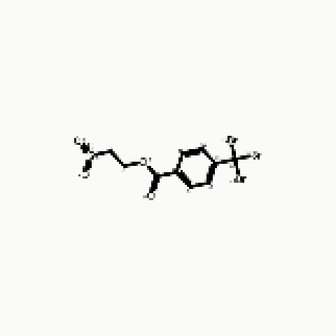 O=C(OCC[SH](=O)=O)c1ccc(C(Br)(Br)Br)cc1